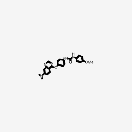 COc1ccc(NC(=O)Nc2ccc(Oc3ncnc4cc(N(C)C)ccc34)cc2)cc1